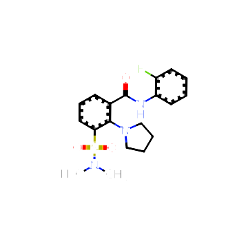 CN(C)S(=O)(=O)c1cccc(C(=O)Nc2ccccc2F)c1N1CCCC1